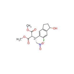 COC(=O)C(C(=O)OC)[C@@H](C[N+](=O)[O-])c1cc2c(cc1F)C(O)CC2